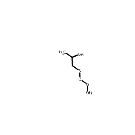 CC(O)CSOOO